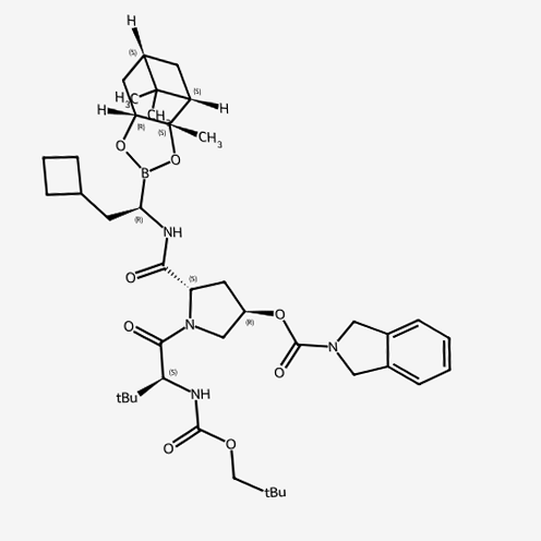 CC(C)(C)COC(=O)N[C@H](C(=O)N1C[C@H](OC(=O)N2Cc3ccccc3C2)C[C@H]1C(=O)N[C@@H](CC1CCC1)B1O[C@@H]2C[C@@H]3C[C@@H](C3(C)C)[C@]2(C)O1)C(C)(C)C